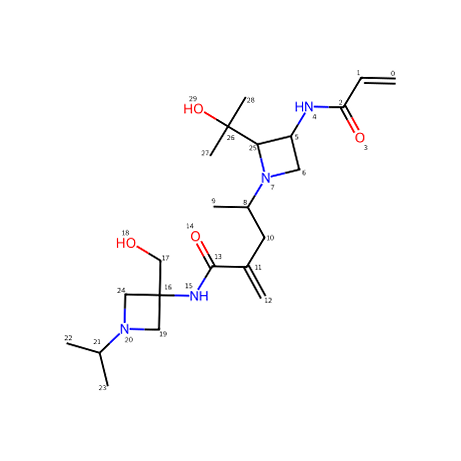 C=CC(=O)NC1CN(C(C)CC(=C)C(=O)NC2(CO)CN(C(C)C)C2)C1C(C)(C)O